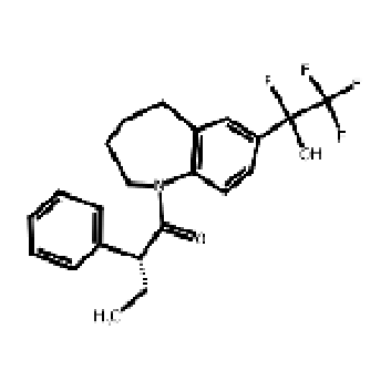 CC[C@@H](C(=O)N1CCCCc2cc(C(O)(F)C(F)(F)F)ccc21)c1ccccc1